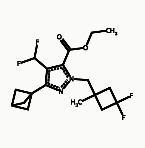 CCOC(=O)c1c(C(F)F)c(C23CC(C2)C3)nn1CC1(C)CC(F)(F)C1